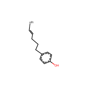 CCCC=CCCCc1ccc(O)cc1